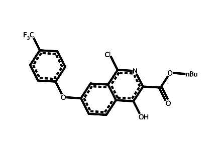 CCCCOC(=O)c1nc(Cl)c2cc(Oc3ccc(C(F)(F)F)cc3)ccc2c1O